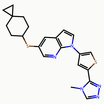 Cn1cnnc1-c1cc(-n2ccc3cc(SC4CCC5(CC4)CC5)cnc32)cs1